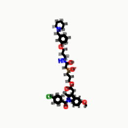 COc1ccc2c(c1)c(CC(=O)OCCC[S+]([O-])CC(=O)NCCCOc1cccc(CN3CCCCC3)c1)c(C)n2C(=O)c1ccc(Cl)cc1